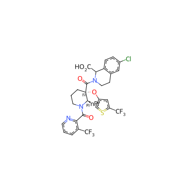 CCC[C@H]1N(C(=O)c2ncccc2C(F)(F)F)CCC[C@@]1(Oc1csc(C(F)(F)F)c1)C(=O)N1CCc2cc(Cl)ccc2C1C(=O)O